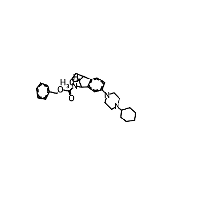 C[C@H]1C2CCN(C(=O)OCc3ccccc3)C1c1cc(N3CCN(C4CCCCC4)CC3)ccc12